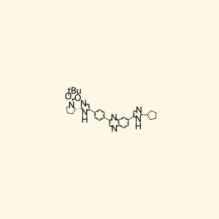 CC(C)(C)OC(=O)N1CCC[C@H]1c1ncc(-c2ccc(-c3cnc4ccc(-c5cnc(C6CCCC6)[nH]5)cc4n3)cc2)[nH]1